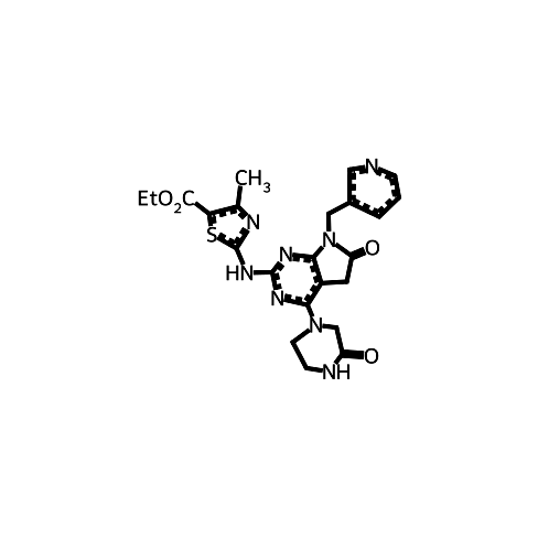 CCOC(=O)c1sc(Nc2nc(N3CCNC(=O)C3)c3c(n2)N(Cc2cccnc2)C(=O)C3)nc1C